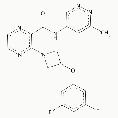 Cc1cc(NC(=O)c2nccnc2N2CC(Oc3cc(F)cc(F)c3)C2)cnn1